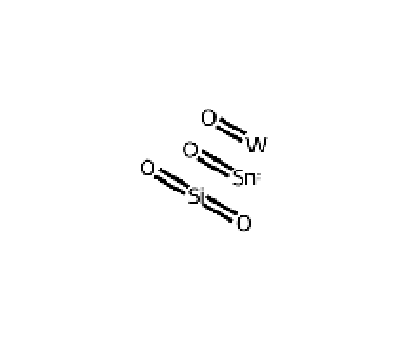 O=[Si]=O.[O]=[Sn].[O]=[W]